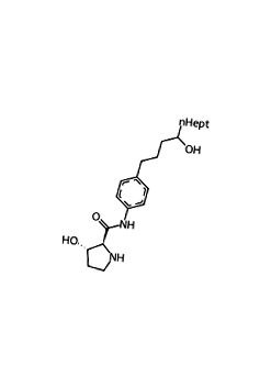 CCCCCCCC(O)CCCc1ccc(NC(=O)[C@H]2NCC[C@@H]2O)cc1